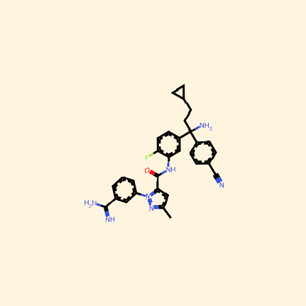 Cc1cc(C(=O)Nc2cc(C(N)(CCC3CC3)c3ccc(C#N)cc3)ccc2F)n(-c2cccc(C(=N)N)c2)n1